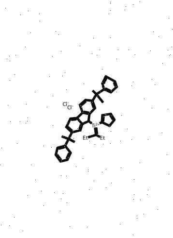 CC[C](CC)=[Ti+2]([C]1=CC=CC1)[CH]1c2cc(C(C)(C)c3ccccc3)ccc2-c2ccc(C(C)(C)c3ccccc3)cc21.[Cl-].[Cl-]